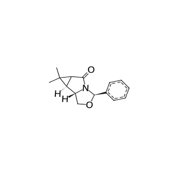 CC1(C)C2C(=O)N3[C@@H](c4ccccc4)OC[C@@H]3[C@H]21